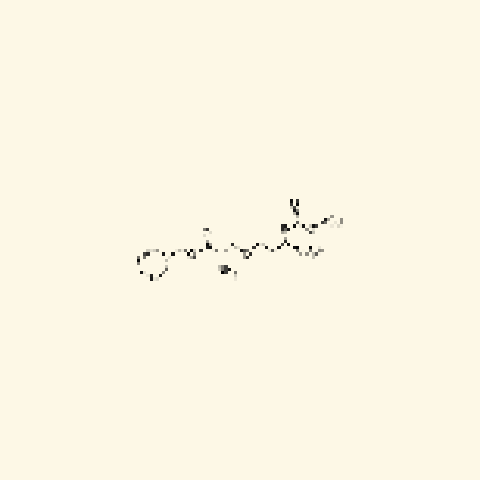 CC(C)(C)OC(=O)NC(CCOCC(N)C(=O)OCc1ccccc1)C(=O)O